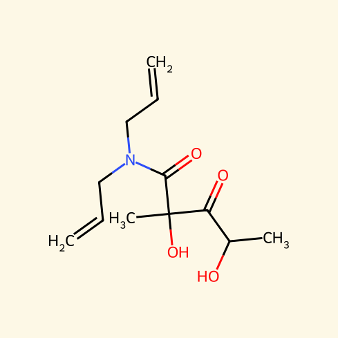 C=CCN(CC=C)C(=O)C(C)(O)C(=O)C(C)O